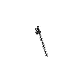 CCCCCCCCC=CCCCCCCCCCCCCOC(CC(=O)[O-])C[N+](C)(C)C